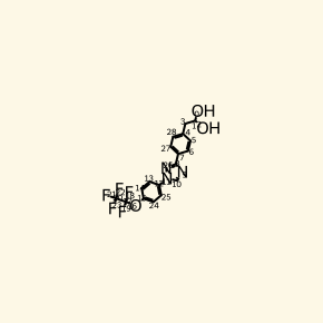 OC(O)Cc1ccc(-c2ncn(-c3ccc(OC(F)(F)C(F)(F)F)cc3)n2)cc1